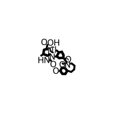 COc1ccc2c(c1)N(S(=O)(=O)c1ccc(Cl)c(-n3c(=O)[nH]c4c(C)cc(C(=O)O)nc43)c1)CCCC2